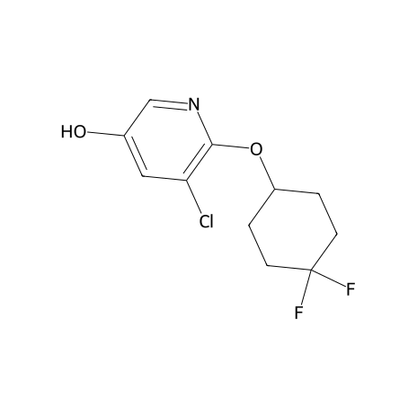 Oc1cnc(OC2CCC(F)(F)CC2)c(Cl)c1